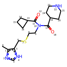 Cc1nc[nH]c1CSCCN(C(=O)C1CCC1)C(=O)C1CCNCC1